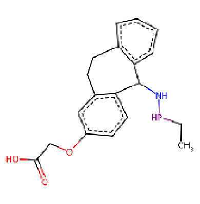 CCPNC1c2ccccc2CCc2cc(OCC(=O)O)ccc21